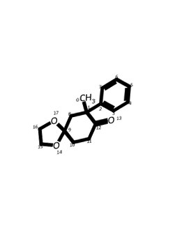 CC1(c2ccccc2)CC2(CCC1=O)OCCO2